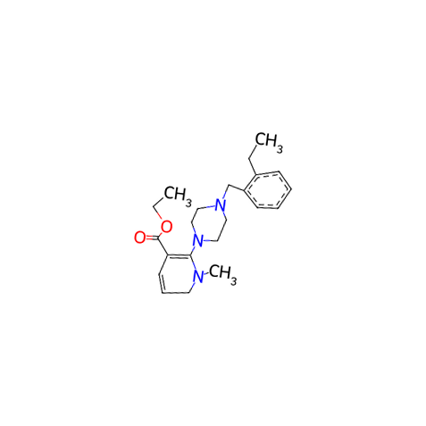 CCOC(=O)C1=C(N2CCN(Cc3ccccc3CC)CC2)N(C)CC=C1